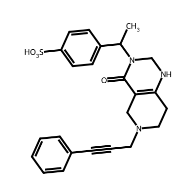 CC(c1ccc(S(=O)(=O)O)cc1)N1CNC2=C(CN(CC#Cc3ccccc3)CC2)C1=O